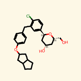 OC[C@@H]1C[C@H](O)C[C@@H](c2ccc(Cl)c(Cc3ccc(OC4CC5CCCC5C4)cc3)c2)O1